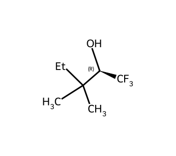 CCC(C)(C)[C@@H](O)C(F)(F)F